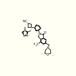 C[C@@H]1CN(Cc2cc3c(c(C(F)(F)F)c2)CN(c2cccc([C@]4(Cc5nncn5C)C[C@@H](C#N)C4)c2)C3=O)C[C@H](C)O1